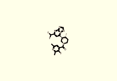 Cc1cc(C(=O)N2CC[C@@H](C)[C@H](c3cc(C(F)F)nc4ncnn34)C2)c(F)c(C)n1